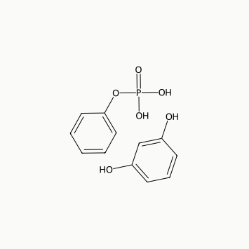 O=P(O)(O)Oc1ccccc1.Oc1cccc(O)c1